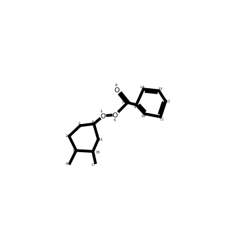 CC1CC[C](OOC(=O)c2ccccc2)CC1C